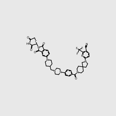 N#Cc1ccc(N2CCC3(CCN(C(=O)c4ccc(N5CCN(CC6CCN(c7ccc8c(c7)C(=O)N(C7CCC(=O)NC7=O)C8=O)CC6)CC5)cc4)CC3)C2)nc1C(F)(F)F